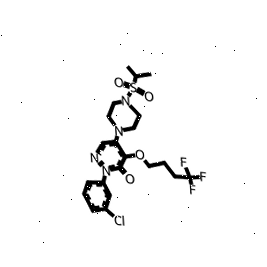 CC(C)S(=O)(=O)N1CCN(c2cnn(-c3cccc(Cl)c3)c(=O)c2OCCCC(F)(F)F)CC1